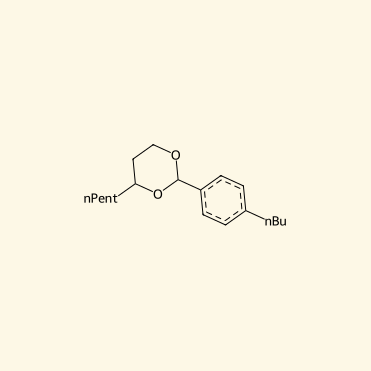 CCCCCC1CCOC(c2ccc(CCCC)cc2)O1